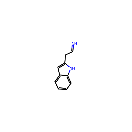 N=CCc1cc2ccccc2[nH]1